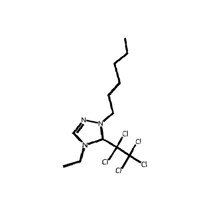 CCCCCCN1N=CN(CC)C1C(Cl)(Cl)C(Cl)(Cl)Cl